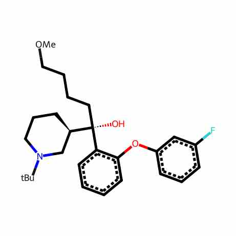 COCCCC[C@@](O)(c1ccccc1Oc1cccc(F)c1)[C@@H]1CCCN(C(C)(C)C)C1